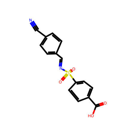 N#Cc1ccc(C=NS(=O)(=O)c2ccc(C(=O)O)cc2)cc1